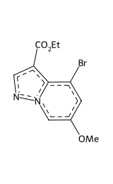 CCOC(=O)c1cnn2cc(OC)cc(Br)c12